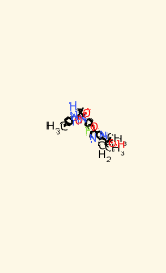 C=C(C)/C(=C(/C)O)c1cc2nccc(Oc3ccc(NC(=O)C4(C(=O)Nc5ccc(C)cc5)CC4)cc3F)c2cn1